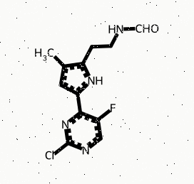 Cc1cc(-c2nc(Cl)ncc2F)[nH]c1CCNC=O